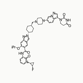 CC(C)Oc1cc2nn([C@H]3CC[C@H](CN4CCN(c5ccc6c(N7CCC(=O)NC7=O)cnn6c5)CC4)CC3)cc2cc1C(=O)Nc1cccn([C@H]2C[C@H]2F)c1=O